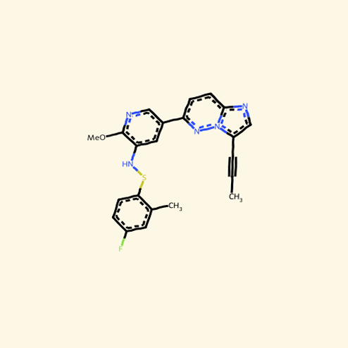 CC#Cc1cnc2ccc(-c3cnc(OC)c(NSc4ccc(F)cc4C)c3)nn12